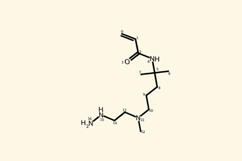 C=CC(=O)NC(C)(C)CCCN(C)CCNN